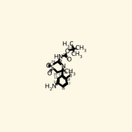 CC(C)(C)OC(=O)NC1=N[C@](C)(c2cc(N)ccc2F)CS(=O)(=O)C1